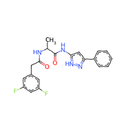 CC(NC(=O)Cc1cc(F)cc(F)c1)C(=O)Nc1cc(-c2ccccc2)n[nH]1